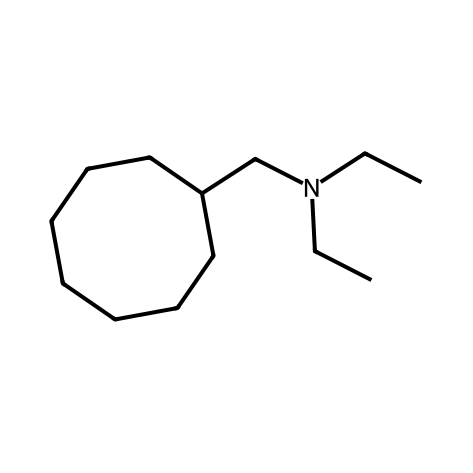 CCN(CC)CC1CCCCCCC1